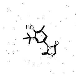 C=C1SCC(=O)N1c1cc(C)c(O)c(C(C)(C)C)c1